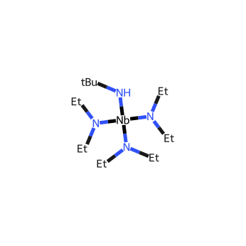 CC[N](CC)[Nb]([NH]C(C)(C)C)([N](CC)CC)[N](CC)CC